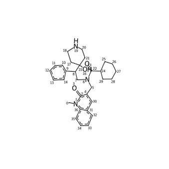 Cn1c(=O)c(CN(CC(c2ccccc2)C2(O)CCNCC2)C(=O)C2CCCCC2)cc2ccccc21